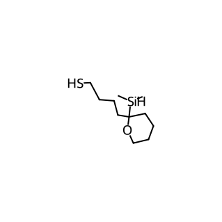 C[SiH](C)C1(CCCCS)CCCCO1